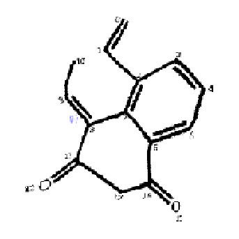 C=Cc1cccc2c1/C(=C\C)C(=O)CC2=O